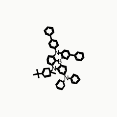 CC(C)(C)C1=CCC(C)(N2c3cc(N(c4ccccc4)C4C=CC=CC4)ccc3B3c4cc(-c5ccccc5)ccc4N(c4ccc(-c5ccccc5)cc4)c4cccc2c43)C=C1